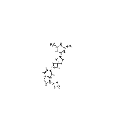 Cc1nc(N2CCC3(C2)CN(c2ncc4cnn(C5COC5)c4n2)C3)cc(C(F)(F)F)n1